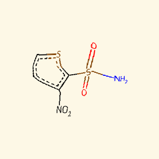 NS(=O)(=O)c1sccc1[N+](=O)[O-]